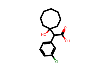 O=C(O)C(c1cccc(Cl)c1)C1(O)CCCCCCC1